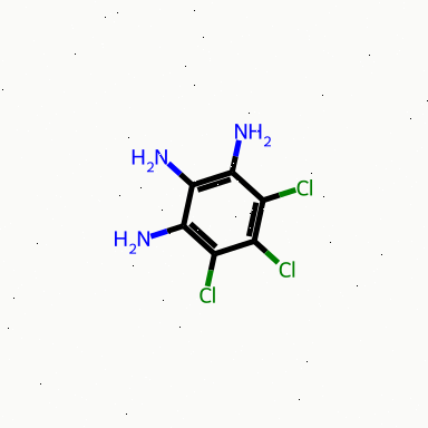 Nc1c(N)c(Cl)c(Cl)c(Cl)c1N